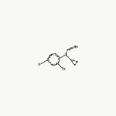 CCc1cc(Br)ccc1N(C=N)C1CC1